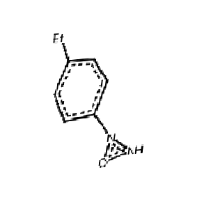 CCc1ccc(-n2[nH]o2)cc1